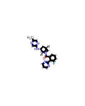 Cc1cnc(N[C@@H]2C[C@H]3C[C@@H]2N(C(=O)c2cccc(F)c2-c2ncccn2)C3)cn1